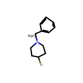 BrC1CCN(Cc2ccccc2)CC1.[MgH2]